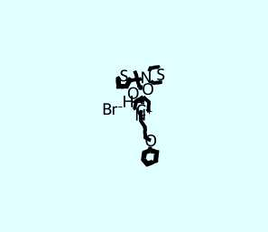 CC(C(=O)O[C@H]1C[N+]2(CCCOc3ccccc3)CCC1CC2)(c1cccs1)N1CCSCC1.[Br-]